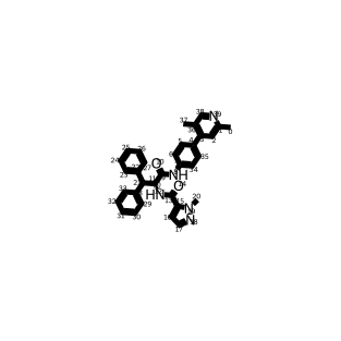 Cc1cc(-c2ccc(NC(=O)[C@@H](NC(=O)c3ccnn3C)C(c3ccccc3)c3ccccc3)cc2)c(C)cn1